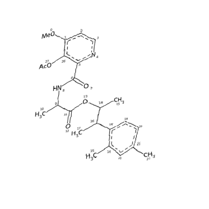 COc1ccnc(C(=O)NC(C)C(=O)OC(C)C(C)c2ccc(C)cc2C)c1OC(C)=O